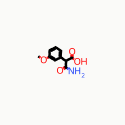 COc1cccc(C(C(N)=O)C(=O)O)c1